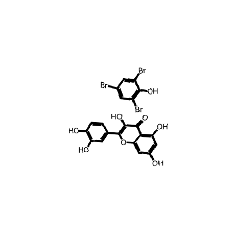 O=c1c(O)c(-c2ccc(O)c(O)c2)oc2cc(O)cc(O)c12.Oc1c(Br)cc(Br)cc1Br